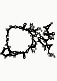 CC[C@@H]1C[C@]1(NC(=O)[C@@H]1C[C@@H]2CN1C(=O)[C@H](C(C)(C)C)NC(=O)OCCCCCCc1cccc3c1CN(C3)C(=O)O2)C(=O)NS(=O)(=O)C1CC1